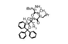 CC[C@H](C)[C@H](N)C(=O)N(C)[C@@H](CC(C)C)C(=O)NC(C)(C)C(=O)OC(c1ccccc1)(c1ccccc1)c1ccccc1